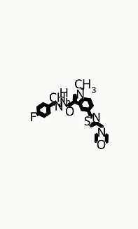 CCn1cc(C(=O)N/N=C(\C)c2ccc(F)cc2)c2cc(-c3nc(CN4CCOCC4)cs3)ccc21